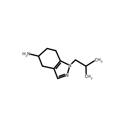 CC(C)Cn1ncc2c1CCC(N)C2